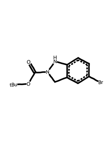 CC(C)(C)OC(=O)N1Cc2cc(Br)ccc2N1